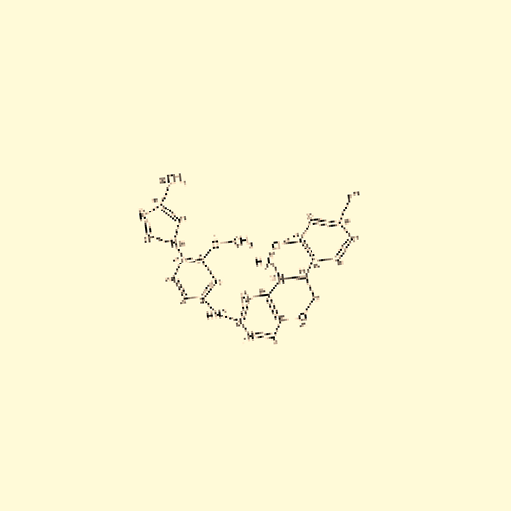 COc1cc(Nc2ncc3c(n2)N(C)C(c2ccc(F)cc2Cl)CO3)ccc1-n1cnc(C)c1